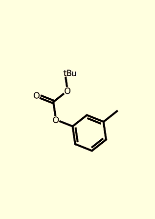 Cc1cccc(OC(=O)OC(C)(C)C)c1